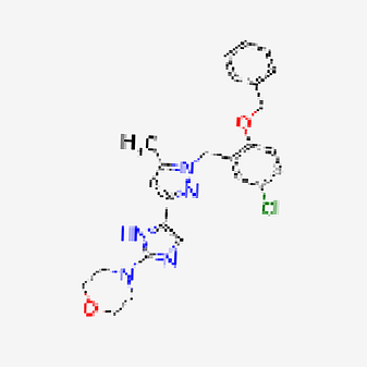 Cc1cc(-c2cnc(N3CCOCC3)[nH]2)nn1Cc1cc(Cl)ccc1OCc1ccccc1